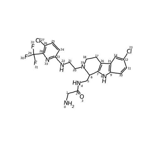 NCC(=O)NCC1c2[nH]c3ccc(Cl)cc3c2CCN1CCNc1ccc(Cl)c(C(F)(F)F)n1